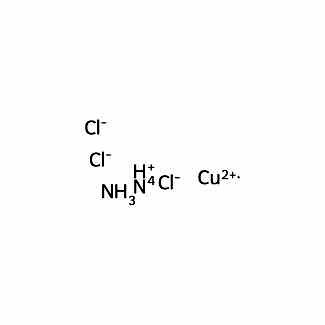 N.[Cl-].[Cl-].[Cl-].[Cu+2].[NH4+]